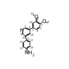 COc1ccc(-c2cncc(-c3ccc(N)cc3)c2)cc1OC